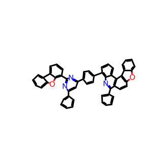 c1ccc(-c2cc(-c3ccc(-c4cccc5c4nc(-c4ccccc4)c4ccc6oc7ccccc7c6c45)cc3)nc(-c3cccc4c3oc3ccccc34)n2)cc1